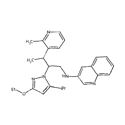 CCOc1cc(C(C)C)n(C(CNc2cnc3ccccc3c2)C(C)c2cccnc2C)n1